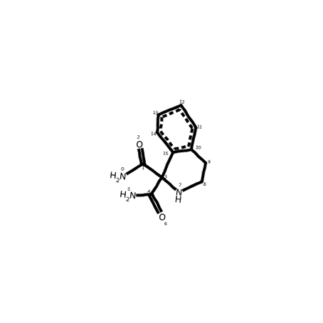 NC(=O)C1(C(N)=O)NCCc2ccccc21